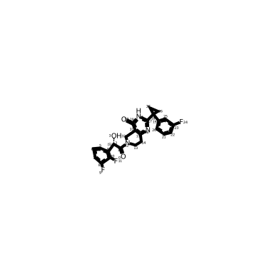 O=C([C@@H](O)c1cccc(F)c1F)N1CCc2nc(C3(c4cccc(F)c4)CC3)[nH]c(=O)c2C1